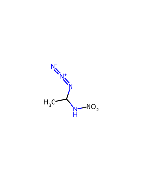 CC(N=[N+]=[N-])N[N+](=O)[O-]